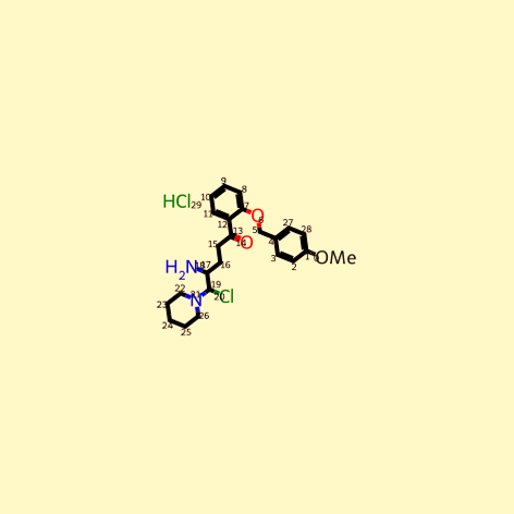 COc1ccc(COc2ccccc2C(=O)CCC(N)C(Cl)N2CCCCC2)cc1.Cl